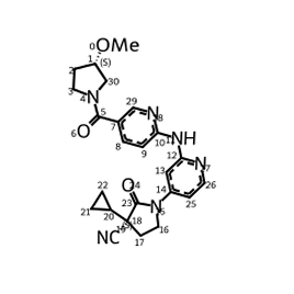 CO[C@H]1CCN(C(=O)c2ccc(Nc3cc(N4CC[C@@](C#N)(C5CC5)C4=O)ccn3)nc2)C1